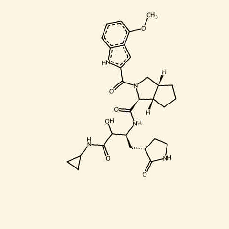 COc1cccc2[nH]c(C(=O)N3C[C@@H]4CCC[C@@H]4[C@H]3C(=O)N[C@@H](C[C@@H]3CCNC3=O)C(O)C(=O)NC3CC3)cc12